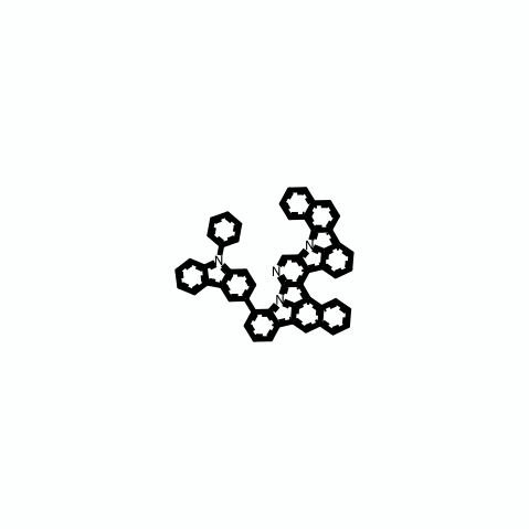 c1ccc(-n2c3ccccc3c3cc(-c4cccc5c6cc7ccccc7c7c8c9c%10cccc%11c%12ccc%13ccccc%13c%12n(c9cnc8n(c45)c67)c%11%10)ccc32)cc1